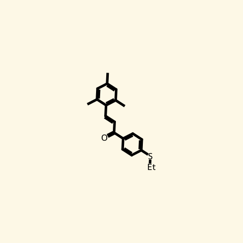 CCSc1ccc(C(=O)/C=C/c2c(C)cc(C)cc2C)cc1